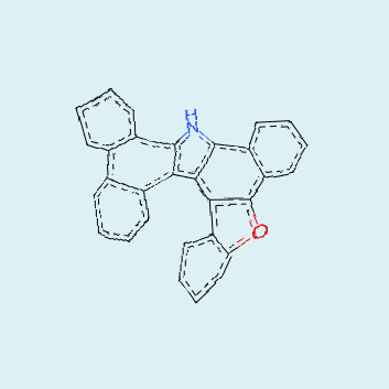 c1ccc2c(c1)oc1c3ccccc3c3[nH]c4c5ccccc5c5ccccc5c4c3c21